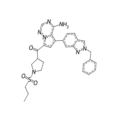 CCCS(=O)(=O)N1CCC(C(=O)c2cc(-c3ccc4cn(Cc5ccccc5)nc4c3)c3c(N)ncnn23)C1